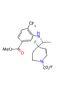 COC(=O)c1ccc(C(F)(F)F)c(NC(C)C2(F)CCN(C(=O)O)CC2)c1